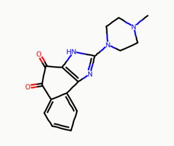 CN1CCN(c2nc3c([nH]2)C(=O)C(=O)c2ccccc2-3)CC1